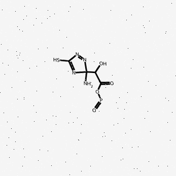 NC1(C(O)C(=O)OP=O)N=NC(S)=N1